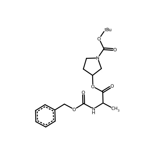 CC(NC(=O)OCc1ccccc1)C(=O)OC1CCN(C(=O)OC(C)(C)C)C1